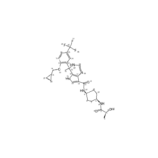 C[C@H](O)C(=O)N[C@H]1CC[C@@H](NC(=O)c2c[nH]c3c2N=CNC3(C)c2cc(C(F)(F)F)ccc2OCC2CC2)CC1